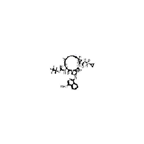 CC[C@@H]1C[C@@H](C)CC/C=C\[C@@H]2C[C@@]2(C(=O)NS(=O)(=O)C2CC2)NC(=O)[C@@H]2C[C@@H](Oc3ncc(OC)c4ccccc34)CN2C(=O)[C@H]1NC(=O)OC(C)(C)C(C)(F)F